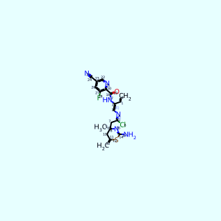 C=C/C(=C\N=C(\Cl)C[C@]1(C)CC(=C)SC(N)=N1)NC(=O)c1ncc(C#N)cc1F